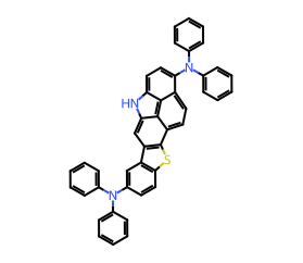 c1ccc(N(c2ccccc2)c2ccc3sc4c(cc5[nH]c6ccc(N(c7ccccc7)c7ccccc7)c7ccc4c5c67)c3c2)cc1